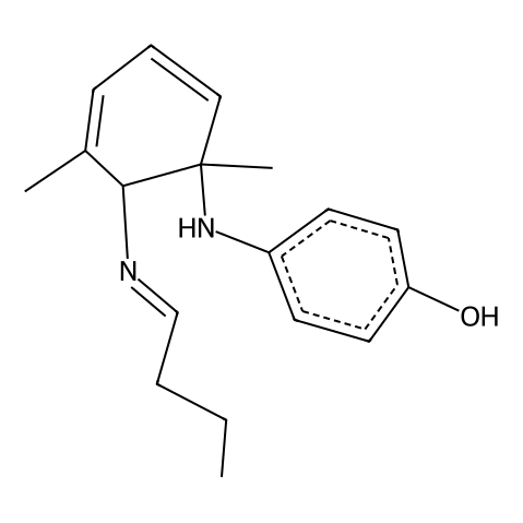 CCCC=NC1C(C)=CC=CC1(C)Nc1ccc(O)cc1